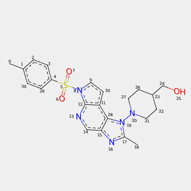 Cc1ccc(S(=O)(=O)n2ccc3c2ncc2nc(C)n(N4CCC(CO)CC4)c23)cc1